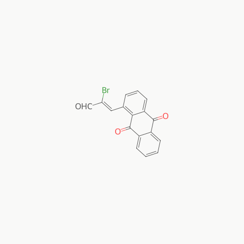 O=CC(Br)=Cc1cccc2c1C(=O)c1ccccc1C2=O